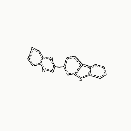 c1ccc2nc(-c3ccc4c(n3)sc3ccccc34)cnc2c1